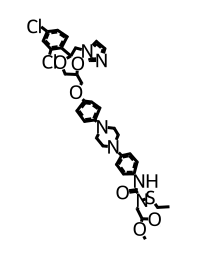 CCSN(CC(OC)OC)C(=O)Nc1ccc(N2CCN(c3ccc(OCC4COC(Cn5ccnc5)(c5ccc(Cl)cc5Cl)O4)cc3)CC2)cc1